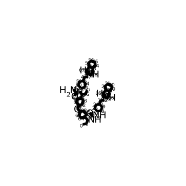 CCC(NC(=O)NC1CCC(CCN2[C@@H]3CC[C@H]2c2ccccc23)CC1)c1ccc(Oc2ccc(C(CC)N(C(N)=O)C3CCC(CCN4[C@@H]5CC[C@H]4c4ccccc45)CC3)cc2)cc1